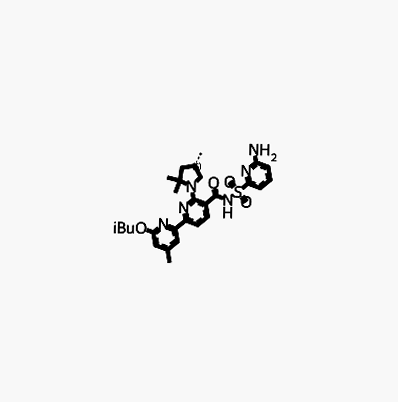 Cc1cc(OCC(C)C)nc(-c2ccc(C(=O)NS(=O)(=O)c3cccc(N)n3)c(N3C[C@@H](C)CC3(C)C)n2)c1